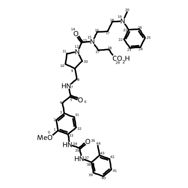 COc1cc(CC(=O)NCC2CCN(C(=O)N(CCCN(C)c3ccccc3)CCC(=O)O)C2)ccc1NC(=O)Nc1ccccc1C